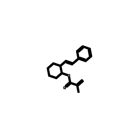 C=C(C)C(=O)OC1CCCCC1C=Cc1ccccc1